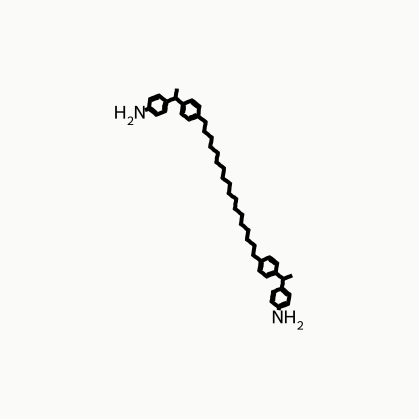 CC(c1ccc(N)cc1)c1ccc(CCCCCCCCCCCCCCCCCCc2ccc(C(C)c3ccc(N)cc3)cc2)cc1